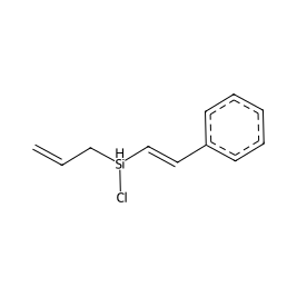 C=CC[SiH](Cl)C=Cc1ccccc1